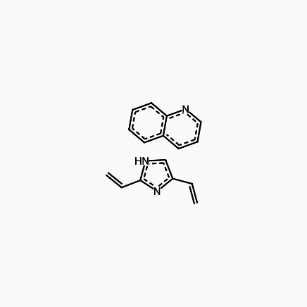 C=Cc1c[nH]c(C=C)n1.c1ccc2ncccc2c1